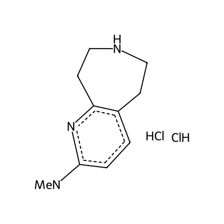 CNc1ccc2c(n1)CCNCC2.Cl.Cl